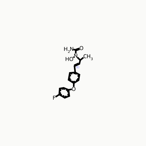 CC(/C=C/c1ccc(Oc2ccc(F)cc2)cc1)N(O)C(N)=O